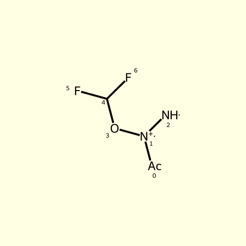 CC(=O)[N+]([NH])OC(F)F